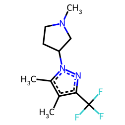 Cc1c(C(F)(F)F)nn(C2CCN(C)C2)c1C